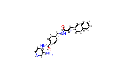 Nc1cnccc1NC(=O)c1ccc(CNC(=O)/C=C/c2ccc3ccccc3c2)cc1